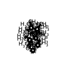 CC(C)(C)c1cc(-c2cc(C(C)(C)C)cc(C(C)(C)C)c2Op2oc3c(C(C)(C)C)cc(C(C)(C)C)cc3c3cc(C(C)(C)C)cc(C(C)(C)C)c3o2)c(OP2CC(=O)c3ccccc3N2c2ccccc2)c(C(C)(C)C)c1